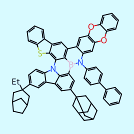 CCC1(c2ccc3c(c2)c2cc(C45CC6CC(CC(C6)C4)C5)cc4c2n3-c2c3c(cc5c2sc2ccccc25)-c2cc5c(cc2N(c2ccc(-c6ccccc6)cc2)B34)Oc2ccccc2O5)CC2CCC(C2)C1